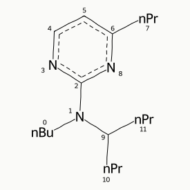 CCCCN(c1nccc(CCC)n1)C(CCC)CCC